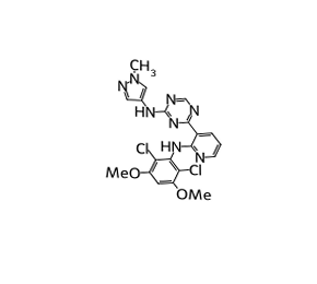 COc1cc(OC)c(Cl)c(Nc2ncccc2-c2ncnc(Nc3cnn(C)c3)n2)c1Cl